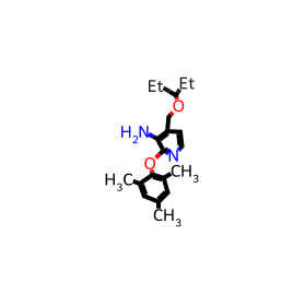 CCC(CC)OCc1ccnc(Oc2c(C)cc(C)cc2C)c1N